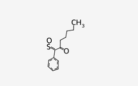 CCCCCC(=O)C(=S=O)c1ccccc1